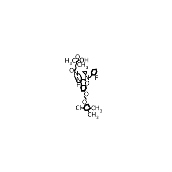 Cc1cc(Cl)c(OCCOc2ccc(C3=C(C(=O)N(Cc4ccccc4F)C4CC4)C4CN(C(=O)CCC(C)(C)C(=O)O)CC(C3)N4)cc2)cc1C